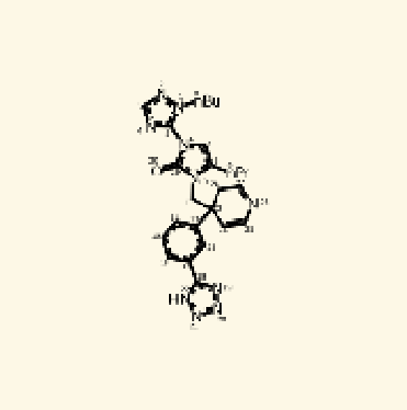 CCCCn1ncnc1-n1cc(CCC)n(CC2(c3cccc(-c4nnn[nH]4)c3)C=CN=CC2)c1=O